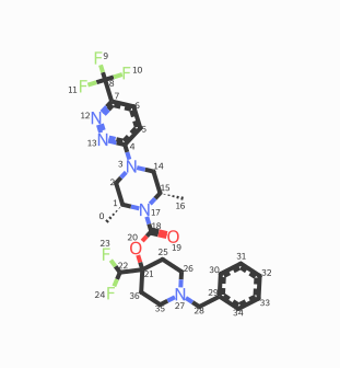 C[C@@H]1CN(c2ccc(C(F)(F)F)nn2)C[C@H](C)N1C(=O)OC1(C(F)F)CCN(Cc2ccccc2)CC1